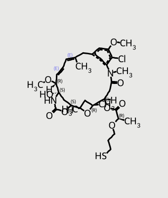 COc1cc2cc(c1Cl)N(C)C(=O)C[C@H](OC(=O)[C@@H](C)OCCCS)[C@@]1(C)CC(C)(O1)[C@@H]1C[C@@](O)(NC(=O)O1)[C@H](OC)/C=C/C=C(\C)C2